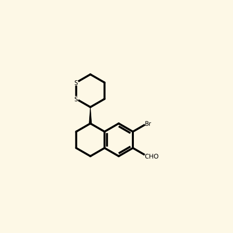 O=Cc1cc2c(cc1Br)C([C@@H]1CCCSS1)CCC2